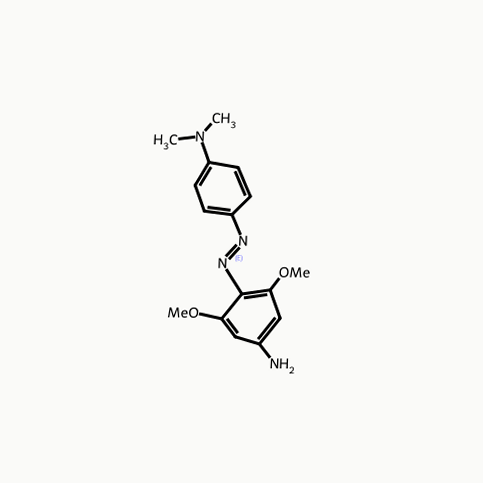 COc1cc(N)cc(OC)c1/N=N/c1ccc(N(C)C)cc1